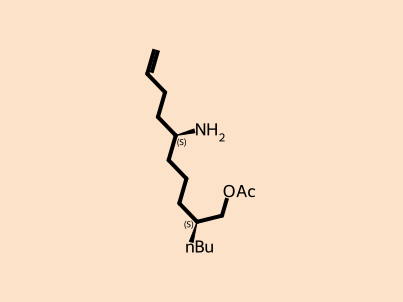 C=CCC[C@@H](N)CCC[C@H](CCCC)COC(C)=O